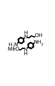 COCCNc1ccc(N)cc1.Nc1ccc(NCCCO)cc1